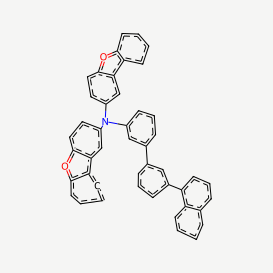 c1cc(-c2cccc(N(c3ccc4oc5ccccc5c4c3)c3ccc4oc5ccccc5c4c3)c2)cc(-c2cccc3ccccc23)c1